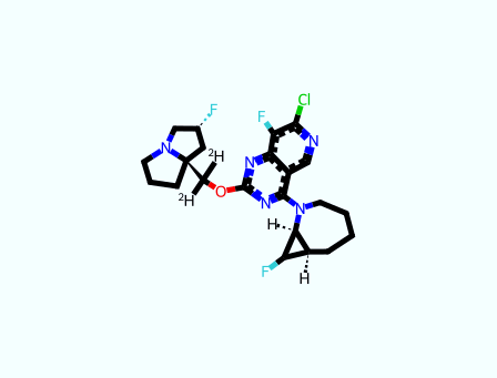 [2H]C([2H])(Oc1nc(N2CCCC[C@H]3C(F)[C@H]32)c2cnc(Cl)c(F)c2n1)[C@@]12CCCN1C[C@H](F)C2